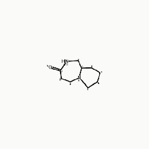 O=C1CCN2CCCCC2CN1